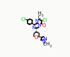 Cc1nc2c(-c3ccc(Cl)cc3)nc([C@H]3CCO[C@H](c4cnn(C)c4)C3)cn2c(=O)c1Cl